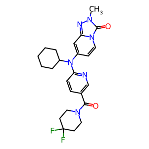 Cn1nc2cc(N(c3ccc(C(=O)N4CCC(F)(F)CC4)cn3)C3CCCCC3)ccn2c1=O